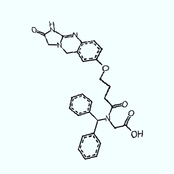 O=C(O)CN(C(=O)CCCOc1ccc2c(c1)CN1CC(=O)NC1=N2)C(c1ccccc1)c1ccccc1